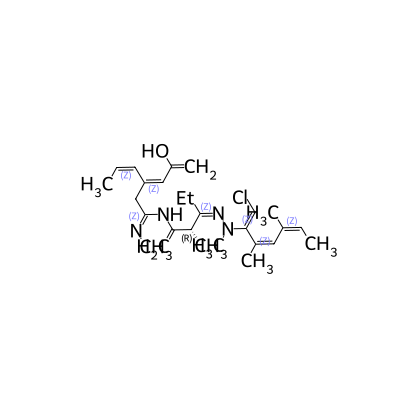 C=C(O)/C=C(\C=C/C)C/C(=N/C)NC(=C)[C@@H](C)/C(CC)=N\N(C)C(=C\Cl)/C(C)=C\C(C)=C/C